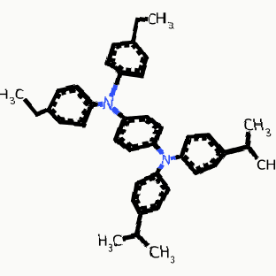 CCc1ccc(N(c2ccc(CC)cc2)c2ccc(N(c3ccc(C(C)C)cc3)c3ccc(C(C)C)cc3)cc2)cc1